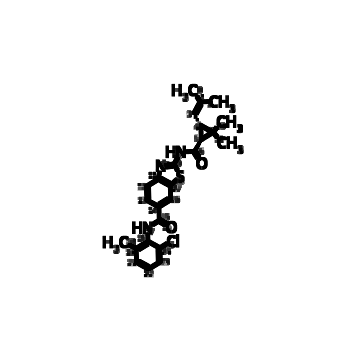 CC(C)=C[C@H]1[C@H](C(=O)Nc2nc3ccc(C(=O)Nc4c(C)cccc4Cl)cc3s2)C1(C)C